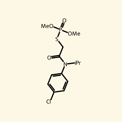 COP(=O)(OC)SCC(=O)N(c1ccc(Cl)cc1)C(C)C